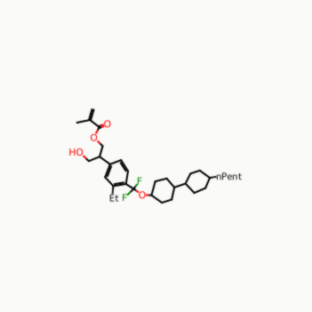 C=C(C)C(=O)OCC(CO)c1ccc(C(F)(F)OC2CCC(C3CCC(CCCCC)CC3)CC2)c(CC)c1